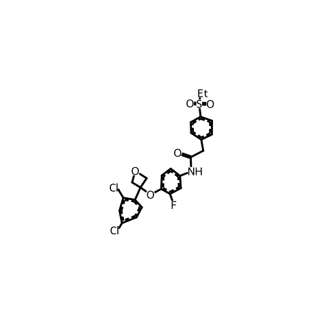 CCS(=O)(=O)c1ccc(CC(=O)Nc2ccc(OC3(c4ccc(Cl)cc4Cl)COC3)c(F)c2)cc1